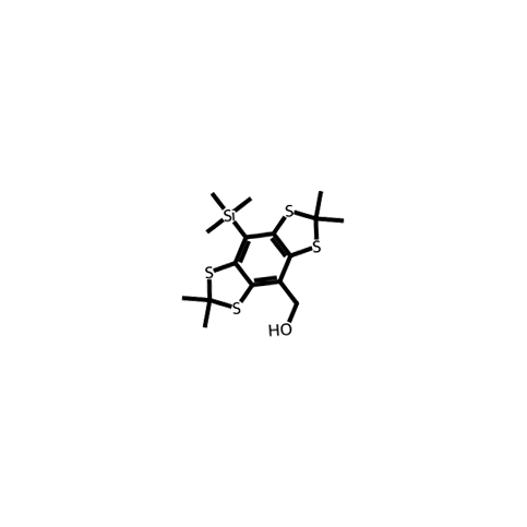 CC1(C)Sc2c(CO)c3c(c([Si](C)(C)C)c2S1)SC(C)(C)S3